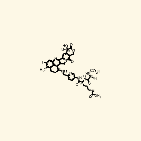 CC[C@@]1(O)C(=O)OCc2c1cc1n(c2=O)Cc2c-1nc1cc(F)c(C)c3c1c2[C@@H](NCc1ccc(NC(=O)[C@H](CCCNC(N)=O)NC(=O)[C@@H](NC(=O)O)C(C)C)cn1)CC3